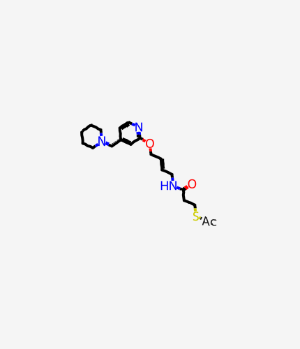 CC(=O)SCCC(=O)NCC=CCOc1cc(CN2CCCCC2)ccn1